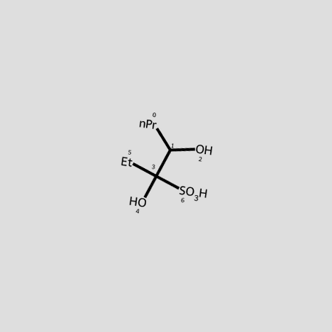 CCC[C](O)C(O)(CC)S(=O)(=O)O